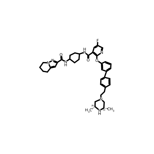 C[C@@H]1CN(CCc2ccc(-c3cccc(Oc4ncc(F)cc4C(=O)NC4CCC(NC(=O)c5cc6n(n5)CCCC6)CC4)c3)cc2)C[C@H](C)N1